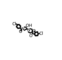 O=C(c1ccc(Cl)cc1)N1CC(O)C(N2CCC3(CC2)Oc2cc(Cl)ccc2C3=O)C1